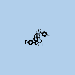 C[C@@H](CN1CCC2(CC1)C(=O)NCC2c1ccc(F)cc1)NC(=O)c1ccc(F)cc1